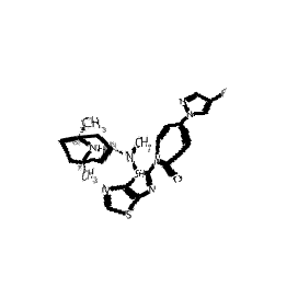 CN([C@H]1C[C@]2(C)CC[C@](C)(C1)N2)[SH]1C(n2ccc(-n3cc(F)cn3)cc2=O)=Nc2scnc21